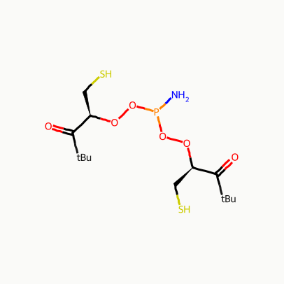 CC(C)(C)C(=O)[C@@H](CS)OOP(N)OO[C@H](CS)C(=O)C(C)(C)C